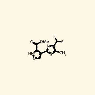 COC(=O)c1[nH]ncc1-c1nc(C(F)F)c(C)s1